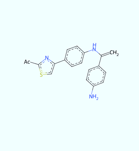 C=C(Nc1ccc(-c2csc(C(C)=O)n2)cc1)c1ccc(N)cc1